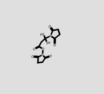 O=C(CC(S)(S)N1C(=O)CCC1=O)ON1C(=O)CCC1=O